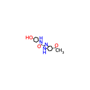 CC(=O)c1ccc2[nH]c(C(=O)Nc3ccc(O)cc3)nc2c1